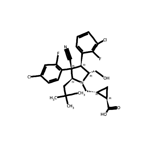 CC(C)(C)C[C@@H]1N(C[C@@H]2C[C@H]2C(=O)O)[C@@H](CO)[C@H](c2cccc(Cl)c2F)[C@@]1(C#N)c1ccc(Cl)cc1F